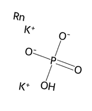 O=P([O-])([O-])O.[K+].[K+].[Rn]